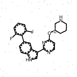 Fc1cccc(F)c1-c1ccc2[nH]cc(-c3nccc(O[C@@H]4CCCNC4)n3)c2c1